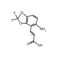 Nc1ccc2c(c1/C=C/C(=O)O)OC(F)(F)O2